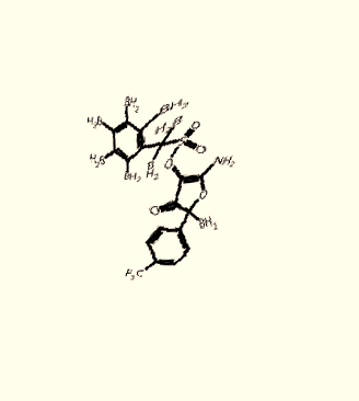 Bc1c(B)c(B)c(C(B)(B)S(=O)(=O)OC2=C(N)OC(B)(c3ccc(C(F)(F)F)cc3)C2=O)c(B)c1B